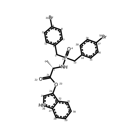 C[C@H](NP(=O)(Cc1ccc(Br)cc1)Cc1ccc(Br)cc1)C(=O)Oc1c[nH]c2ccccc12